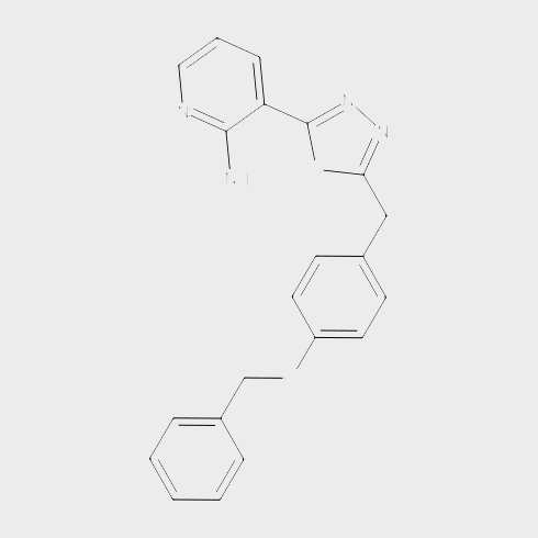 Nc1ncccc1-c1nnc(Cc2ccc(OCc3ccccc3)cc2)s1